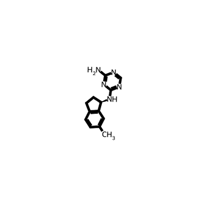 Cc1ccc2c(c1)[C@H](Nc1ncnc(N)n1)CC2